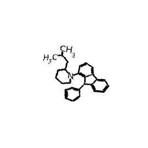 C[C](C)CC1CCCCN1c1cccc2c1C(c1ccccc1)c1ccccc1-2